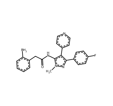 Bc1ccccc1CC(=O)Nc1c(-c2ccncc2)c(-c2ccc(F)cc2)nn1C